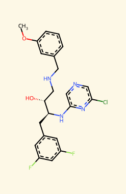 COc1cccc(CNC[C@@H](O)[C@H](Cc2cc(F)cc(F)c2)Nc2cncc(Cl)n2)c1